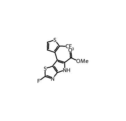 COC(=O)c1[nH]c2nc(F)sc2c1-c1ccsc1C(F)(F)F